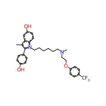 Cc1c(-c2ccc(O)cc2)n(CCCCCCN(C)CCOc2ccc(C(F)(F)F)cc2)c2ccc(O)cc12